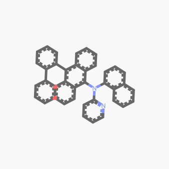 c1ccc(-c2ccccc2-c2c3ccccc3c(N(c3ccccn3)c3cccc4ccccc34)c3ccccc23)cc1